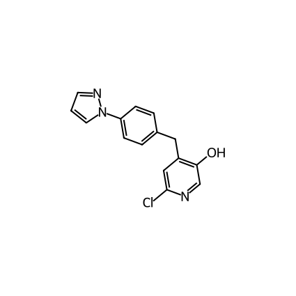 Oc1cnc(Cl)cc1Cc1ccc(-n2cccn2)cc1